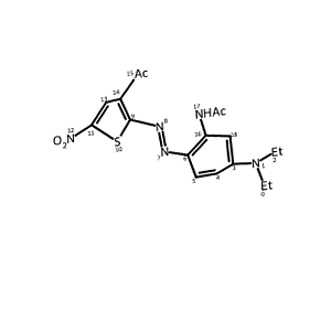 CCN(CC)c1ccc(N=Nc2sc([N+](=O)[O-])cc2C(C)=O)c(NC(C)=O)c1